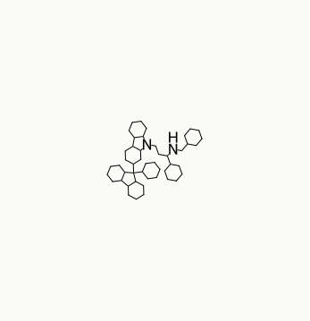 C1CCC(CNC(CCN2C3CCCCC3C3CCC(C4(C5CCCCC5)C5CCCCC5C5CCCCC54)CC32)C2CCCCC2)CC1